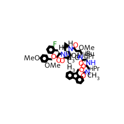 CC[C@H](C)[C@@H]([C@@H](CC(=O)N1[C@H]2C[C@H]2C[C@H]1[C@H](OC)[C@@H](C)C(=O)N[C@@H](Cc1ccccc1F)C(=O)OCc1ccc(OC)cc1OC)OC)N(C)C(=O)[C@@H](NC(=O)[C@H](C(C)C)N(C)C(=O)OCC1c2ccccc2-c2ccccc21)C(C)C